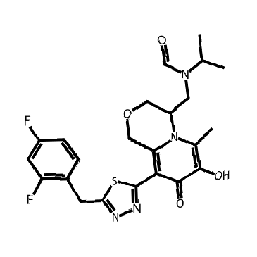 Cc1c(O)c(=O)c(-c2nnc(Cc3ccc(F)cc3F)s2)c2n1C(CN(C=O)C(C)C)COC2